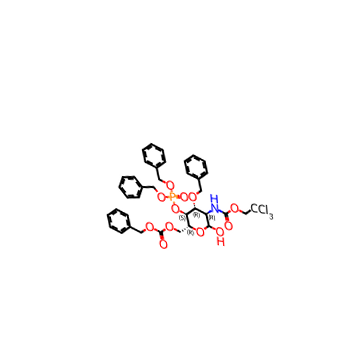 O=C(N[C@H]1C(O)O[C@H](COC(=O)OCc2ccccc2)[C@@H](OP(=O)(OCc2ccccc2)OCc2ccccc2)[C@@H]1OCc1ccccc1)OCC(Cl)(Cl)Cl